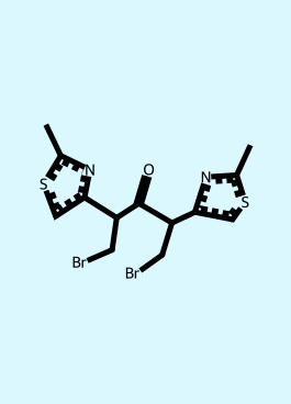 Cc1nc(C(CBr)C(=O)C(CBr)c2csc(C)n2)cs1